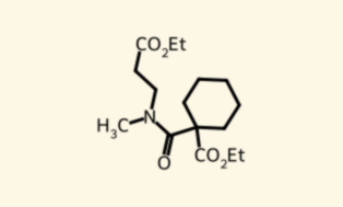 CCOC(=O)CCN(C)C(=O)C1(C(=O)OCC)CCCCC1